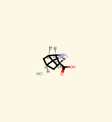 CC1(C)[C@H]2C[C@@H](C(=O)O)[C@H](N)[C@@H]1C2.Cl